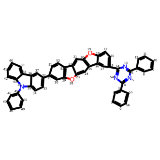 c1ccc(-c2nc(-c3ccccc3)nc(-c3ccc4oc5cc6c(cc5c4c3)oc3cc(-c4ccc5c(c4)c4ccccc4n5-c4ccccc4)ccc36)n2)cc1